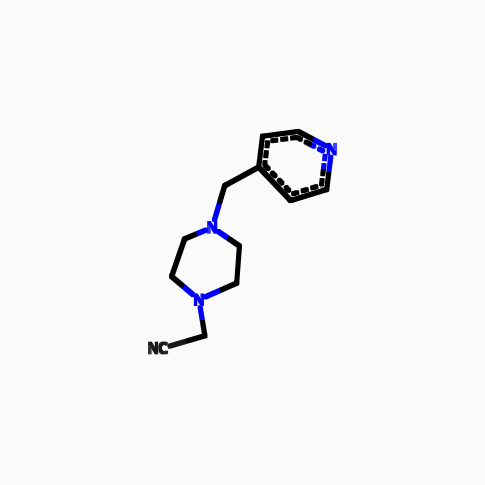 N#CCN1CCN(Cc2ccncc2)CC1